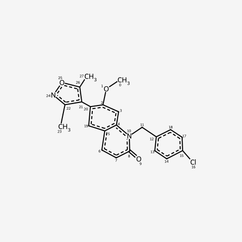 COc1cc2c(ccc(=O)n2Cc2ccc(Cl)cc2)cc1-c1c(C)noc1C